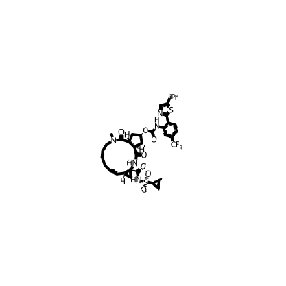 CC(C)c1cnc(-c2ccc(C(F)(F)F)cc2NC(=O)O[C@@H]2C[C@H]3C(=O)N[C@]4(C(=O)NS(=O)(=O)C5CC5)C[C@H]4/C=C\CCCCN(C)C(=O)[C@@H]3C2)s1